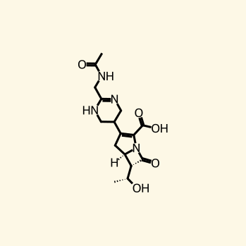 CC(=O)NCC1=NCC(C2=C(C(=O)O)N3C(=O)[C@H]([C@@H](C)O)[C@H]3C2)CN1